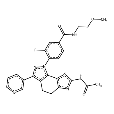 COCCNC(=O)c1ccc(-n2nc(-c3cccnc3)c3c2-c2sc(NC(C)=O)nc2CC3)c(F)c1